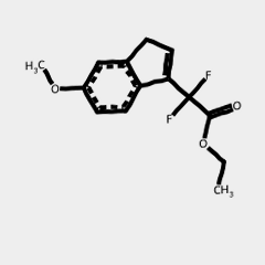 CCOC(=O)C(F)(F)C1=CCc2cc(OC)ccc21